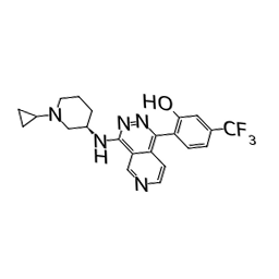 Oc1cc(C(F)(F)F)ccc1-c1nnc(N[C@@H]2CCCN(C3CC3)C2)c2cnccc12